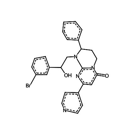 O=c1cc(-c2ccncc2)nc2n1CCC(c1ccccc1)N2CC(O)c1cccc(Br)c1